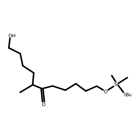 CC(CCCCO)C(=O)CCCCCO[Si](C)(C)C(C)(C)C